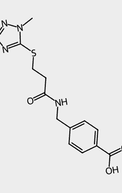 Cn1nnnc1SCCC(=O)NCc1ccc(C(=O)O)cc1